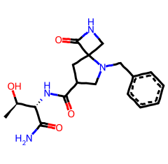 C[C@@H](O)[C@H](NC(=O)C1CN(Cc2ccccc2)C2(CNC2=O)C1)C(N)=O